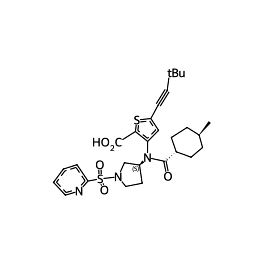 CC(C)(C)C#Cc1cc(N(C(=O)[C@H]2CC[C@H](C)CC2)[C@H]2CCN(S(=O)(=O)c3ccccn3)C2)c(C(=O)O)s1